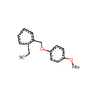 CCCCOc1ccc(OCc2ccccc2CC#N)cc1